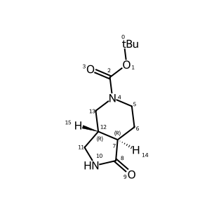 CC(C)(C)OC(=O)N1CC[C@H]2C(=O)NC[C@@H]2C1